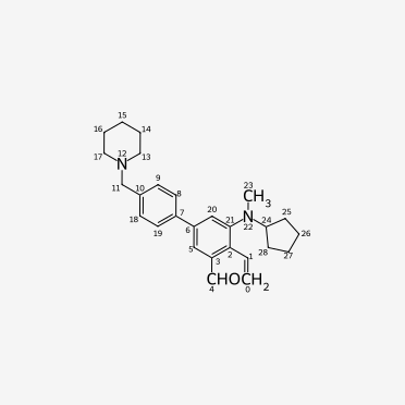 C=Cc1c(C=O)cc(-c2ccc(CN3CCCCC3)cc2)cc1N(C)C1CCCC1